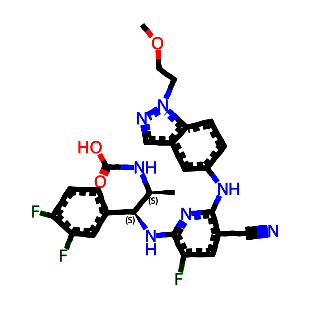 COCCn1ncc2cc(Nc3nc(N[C@@H](c4ccc(F)c(F)c4)[C@H](C)NC(=O)O)c(F)cc3C#N)ccc21